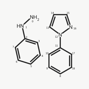 NNc1ccccc1.c1ccc(-n2cccn2)cc1